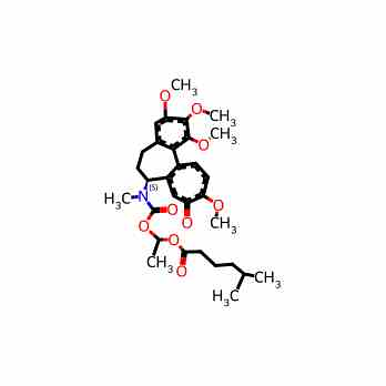 COc1cc2c(c(OC)c1OC)-c1ccc(OC)c(=O)cc1[C@@H](N(C)C(=O)OC(C)OC(=O)CCCC(C)C)CC2